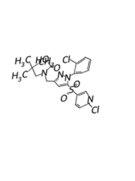 CC(C)(C)CN(Cc1cc(S(=O)(=O)c2ccc(Cl)nc2)n(-c2ccccc2Cl)n1)C(=O)O